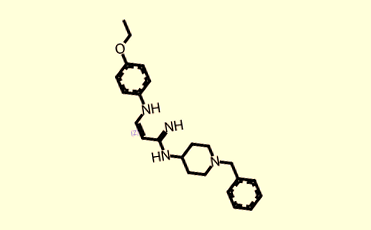 CCOc1ccc(N/C=C\C(=N)NC2CCN(Cc3ccccc3)CC2)cc1